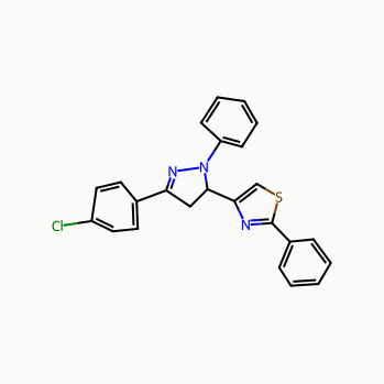 Clc1ccc(C2=NN(c3ccccc3)C(c3csc(-c4ccccc4)n3)C2)cc1